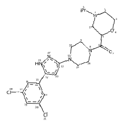 CC(C)N1CCOC(C(=O)N2CCN(c3cc(-c4cc(Cl)cc(Cl)c4)[nH]n3)CC2)C1